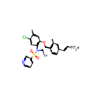 Cc1cc(OCc2ccc(C=CC(=O)O)cc2C)c(N(CC(C)C)S(=O)(=O)c2cccnc2)cc1Cl